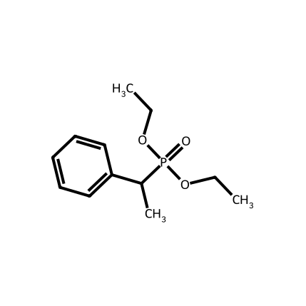 CCOP(=O)(OCC)C(C)c1ccccc1